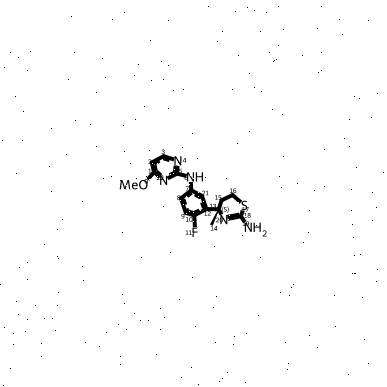 COc1ccnc(Nc2ccc(F)c([C@]3(C)CCSC(N)=N3)c2)n1